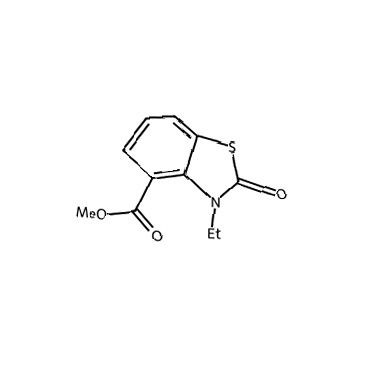 CCn1c(=O)sc2cccc(C(=O)OC)c21